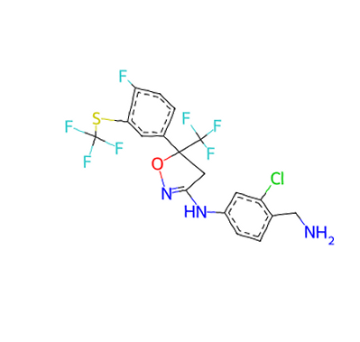 NCc1ccc(NC2=NOC(c3ccc(F)c(SC(F)(F)F)c3)(C(F)(F)F)C2)cc1Cl